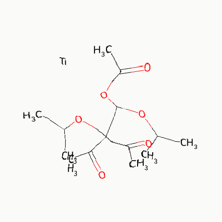 CC(=O)OC(OC(C)C)C(OC(C)C)(C(C)=O)C(C)=O.[Ti]